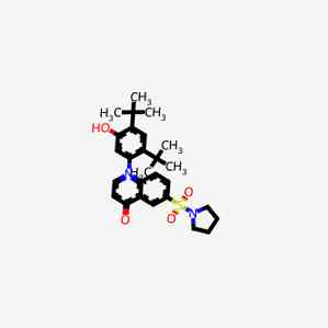 CC(C)(C)c1cc(C(C)(C)C)c(-n2ccc(=O)c3cc(S(=O)(=O)N4CCCC4)ccc32)cc1O